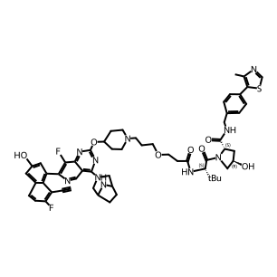 C#Cc1c(F)ccc2cc(O)cc(-c3ncc4c(N5CC6CCC(C5)N6)nc(OC5CCN(CCCOCCC(=O)N[C@H](C(=O)N6C[C@H](O)C[C@H]6C(=O)NCc6ccc(-c7scnc7C)cc6)C(C)(C)C)CC5)nc4c3F)c12